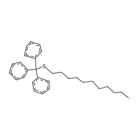 [CH2]CCCCCCCCCCSC(c1ccccc1)(c1ccccc1)c1ccccc1